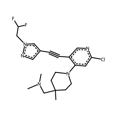 CN(C)CC1(C)CCN(c2cc(Cl)ncc2C#Cc2cnn(CC(F)F)c2)CC1